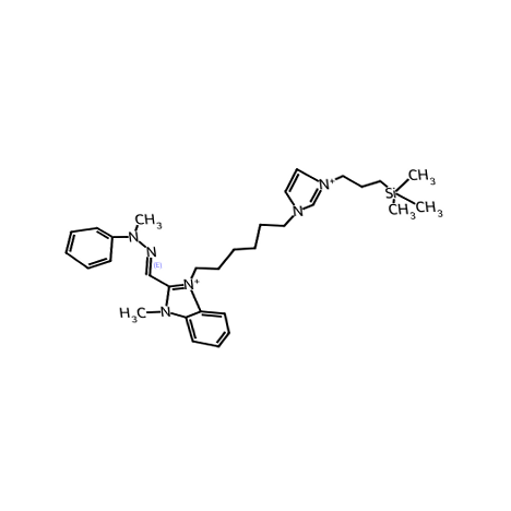 CN(/N=C/c1n(C)c2ccccc2[n+]1CCCCCCn1cc[n+](CCC[Si](C)(C)C)c1)c1ccccc1